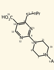 CCCSc1nc(N2CCN(C(C)=O)CC2)ncc1C(=O)O